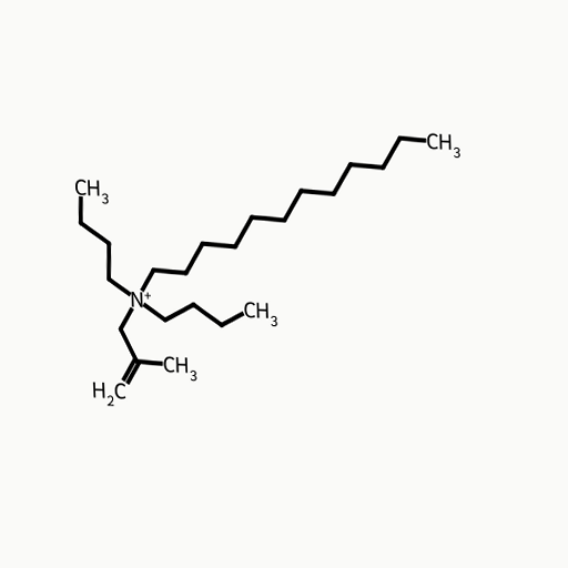 C=C(C)C[N+](CCCC)(CCCC)CCCCCCCCCCCC